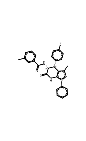 Cc1cccc(C(=O)N[C@H]2C(=O)Nc3c(c(C)nn3-c3ccccc3)[C@H]2c2ccc(F)cc2)c1